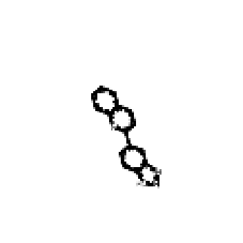 [c]1c(-c2ccc3ccccc3n2)ccc2[nH]nnc12